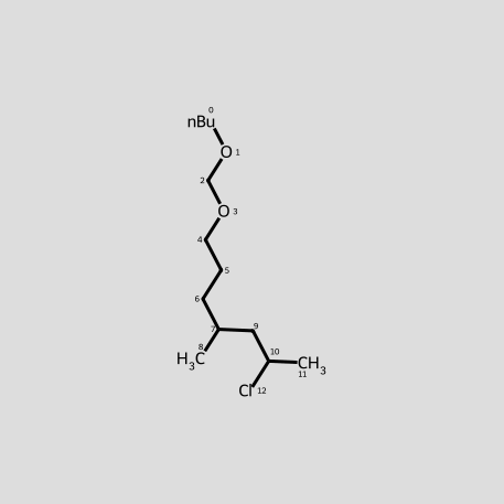 CCCCOCOCCCC(C)CC(C)Cl